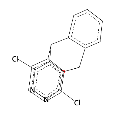 Clc1nnc(Cl)c2c1C1c3ccccc3C2c2ccccc21